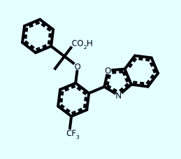 CC(Oc1ccc(C(F)(F)F)cc1-c1nc2ccccc2o1)(C(=O)O)c1ccccc1